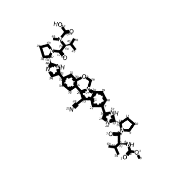 COC(=O)N[C@H](C(=O)N1CCC[C@H]1c1ncc(-c2ccc3c(c2)c(C#N)c2n3COc3cc(-c4cnc([C@@H]5CCCN5C(=O)[C@H](C(C)C)N(C)C(=O)O)[nH]4)ccc3-2)[nH]1)C(C)C